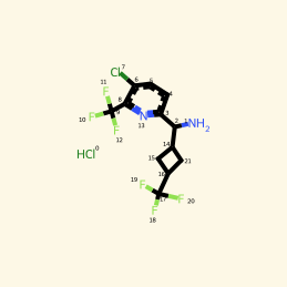 Cl.NC(c1ccc(Cl)c(C(F)(F)F)n1)C1CC(C(F)(F)F)C1